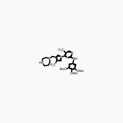 COc1cc(Nc2ncc(C)c(-n3cc(C)c(CN4CCCNCC4)c3)n2)cc(OC)c1OC